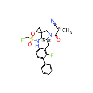 C[C@@H](C#N)C(=O)N1CC2(CC2)[C@H](NS(=O)(=O)CF)[C@@H]1Cc1cccc(-c2ccccc2)c1F